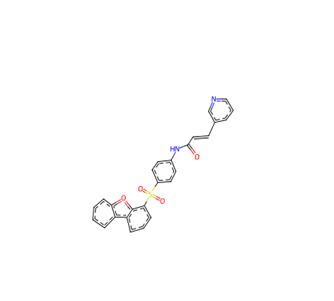 O=C(/C=C/c1cccnc1)Nc1ccc(S(=O)(=O)c2cccc3c2oc2ccccc23)cc1